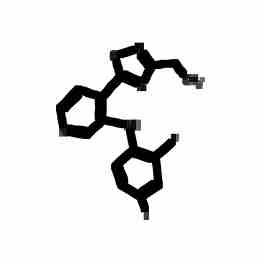 [CH2]Cc1noc(-c2ccncc2Nc2ccc(I)cc2F)n1